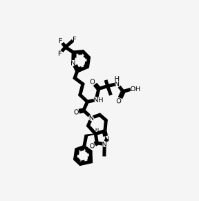 CN1N=C2CCN(C(=O)C(CCCc3cccc(C(F)(F)F)n3)NC(=O)C(C)(C)NC(=O)O)C[C@@]2(Cc2ccccc2)C1=O